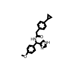 COc1ccc(C(NC(=O)Cc2ccc(C3CC3)cc2)c2c[nH]cn2)cc1